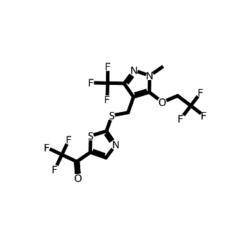 Cn1nc(C(F)(F)F)c(CSc2ncc(C(=O)C(F)(F)F)s2)c1OCC(F)(F)F